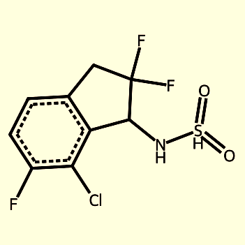 O=[SH](=O)NC1c2c(ccc(F)c2Cl)CC1(F)F